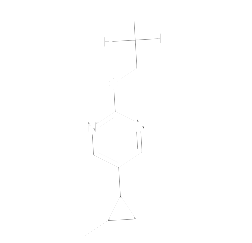 CC1CC1c1cnc(OCC(F)(F)F)nc1